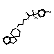 CC(C)(C(=O)NCCCN1CCC2(CCc3ccccc32)CC1)c1ccc(Cl)cc1